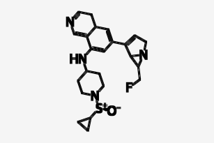 [O-][S@@+](C1CC1)N1CCC(NC2=CC(C3=CCN4C(CF)C34)=CC3CC=NC=C23)CC1